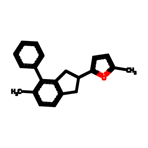 Cc1ccc(C2Cc3ccc(C)c(-c4ccccc4)c3C2)o1